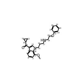 COc1cccc2c(C(=O)C3CC3)cn(CCCNCCOc3ccccc3)c12